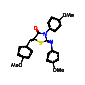 COc1ccc(/C=C2\S/C(=N\c3ccc(OC)cc3)N(c3ccc(OC)cc3)C2=O)cc1